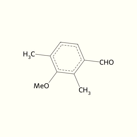 COc1c(C)ccc(C=O)c1C